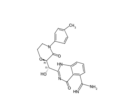 Cc1ccc(N2CCO[C@H]([C@@H](O)c3nc(=O)c4c(C(=N)N)cccc4[nH]3)C2=O)cc1